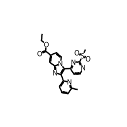 CCOC(=O)c1ccn2c(-c3ccnc(S(C)(=O)=O)n3)c(-c3cccc(C)n3)nc2c1